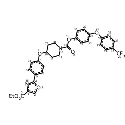 CCOC(=O)c1coc(-c2ccc(OC3CCN(C(=O)Oc4ccc(Oc5ccc(C(F)(F)F)cn5)cc4)CC3)cc2)n1